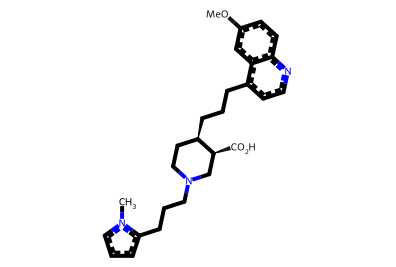 COc1ccc2nccc(CCC[C@@H]3CCN(CCCc4cccn4C)C[C@@H]3C(=O)O)c2c1